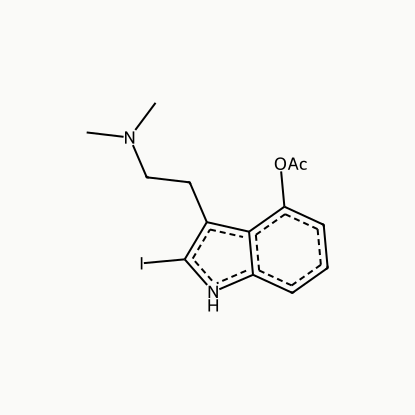 CC(=O)Oc1cccc2[nH]c(I)c(CCN(C)C)c12